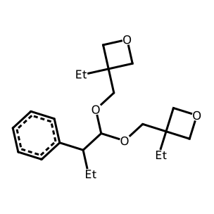 CCC(c1ccccc1)C(OCC1(CC)COC1)OCC1(CC)COC1